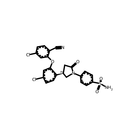 N#Cc1ccc(Cl)cc1Oc1cc(Cl)ccc1[C@H]1CC(=O)N(c2ccc(S(N)(=O)=O)cc2)C1